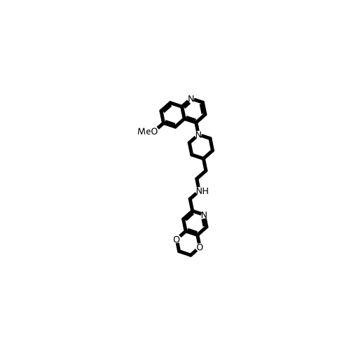 COc1ccc2nccc(N3CCC(CCNCc4cc5c(cn4)OCCO5)CC3)c2c1